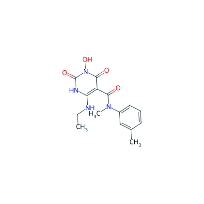 CCNc1[nH]c(=O)n(O)c(=O)c1C(=O)N(C)c1cccc(C)c1